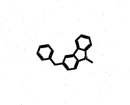 Cn1c2ccccc2c2cc(Cc3ccccc3)ccc21